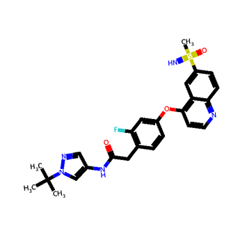 CC(C)(C)n1cc(NC(=O)Cc2ccc(Oc3ccnc4ccc(S(C)(=N)=O)cc34)cc2F)cn1